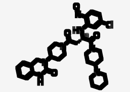 O=Nc1ccc(Cl)cc1N[C@@H](CC(=O)N1CCC(N2Cc3ccccc3NC2=O)CC1)C(=O)N1CCC(N2CCCCC2)CC1